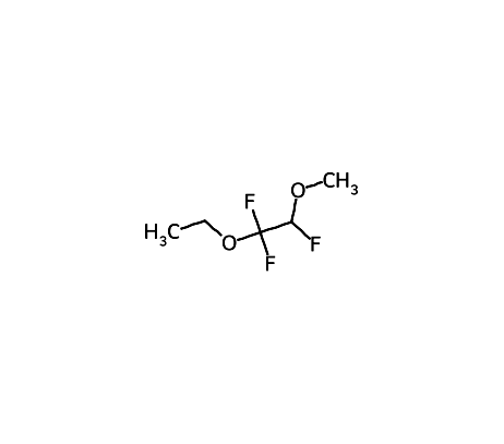 CCOC(F)(F)C(F)OC